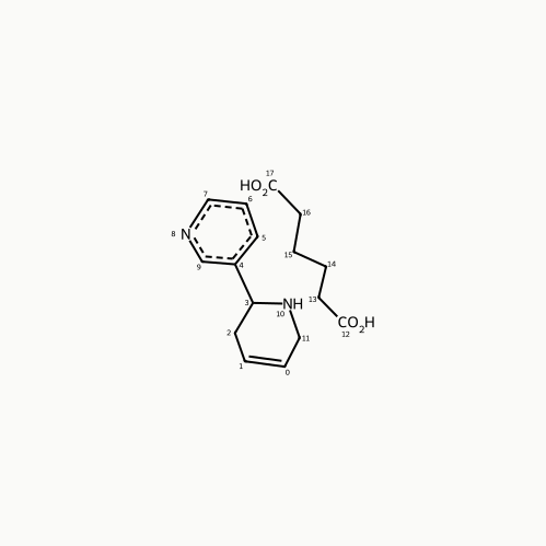 C1=CCC(c2cccnc2)NC1.O=C(O)CCCCC(=O)O